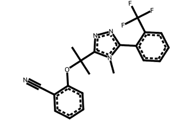 Cn1c(-c2ccccc2C(F)(F)F)nnc1C(C)(C)Oc1ccccc1C#N